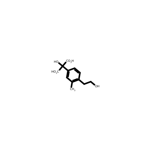 Cc1cc(C(O)(C(=O)O)C(=O)O)ccc1CCO